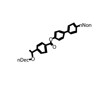 CCCCCCCCCCOC(C)c1ccc(C(=O)Oc2ccc(-c3ccc(CCCCCCCCC)cc3)cc2)cc1